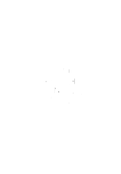 CC(C)(C)C1=CCON1P(=O)(O)O